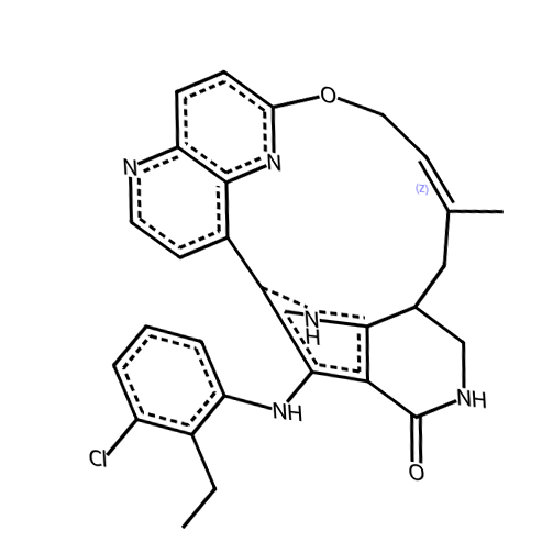 CCc1c(Cl)cccc1Nc1c2[nH]c3c1C(=O)NCC3C/C(C)=C\COc1ccc3nccc-2c3n1